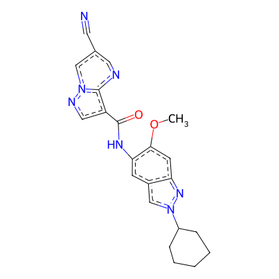 COc1cc2nn(C3CCCCC3)cc2cc1NC(=O)c1cnn2cc(C#N)cnc12